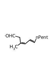 CCCCCC=CC=C(C)C[C]=O